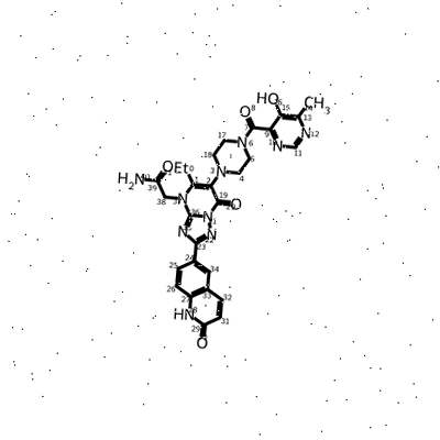 CCc1c(N2CCN(C(=O)c3ncnc(C)c3O)CC2)c(=O)n2nc(-c3ccc4[nH]c(=O)ccc4c3)nc2n1CC(N)=O